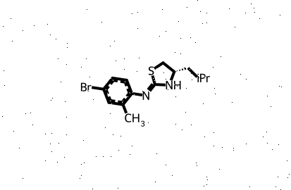 Cc1cc(Br)ccc1/N=C1/N[C@@H](CC(C)C)CS1